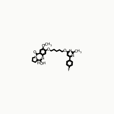 COc1cc2c(cc1OCCCCCOc1cc(-c3ccc(F)cc3)nc(C)n1)N=C(O)[C@@H]1CCCN1C2=O